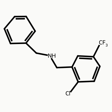 FC(F)(F)c1ccc(Cl)c(CNCc2ccccc2)c1